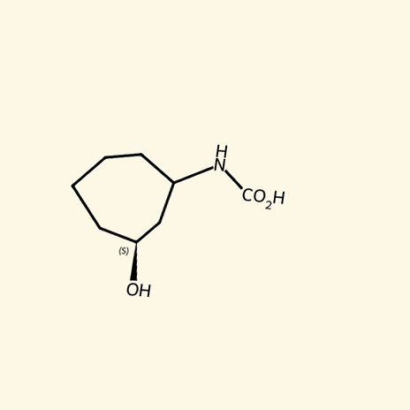 O=C(O)NC1CCCC[C@H](O)C1